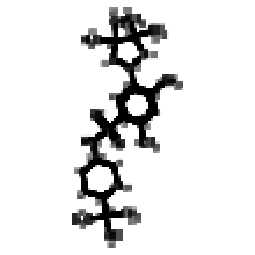 Cc1cc(C)c(S(=O)(=O)N[C@@H]2CCC(C(C)(C)O)OC2)cc1B1OC(C)(C)C(C)(C)O1